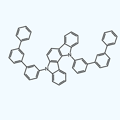 c1ccc(-c2cccc(-c3cccc(-n4c5ccccc5c5c4ccc4c6ccccc6n(-c6cccc(-c7cccc(-c8ccccc8)c7)c6)c45)c3)c2)cc1